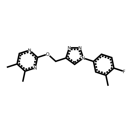 Cc1cc(-n2cc(COc3ncc(C)c(C)n3)nn2)ccc1F